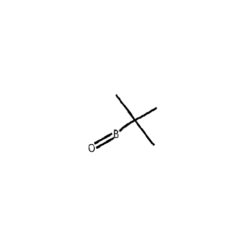 CC(C)(C)B=O